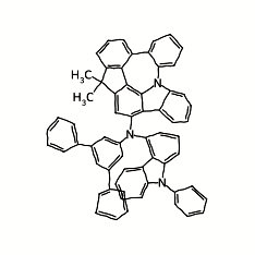 CC1(C)c2cccc3c2-c2c1cc(N(c1cc(-c4ccccc4)cc(-c4ccccc4)c1)c1cccc4c1c1ccccc1n4-c1ccccc1)c1c4ccccc4n(c21)-c1ccccc1-3